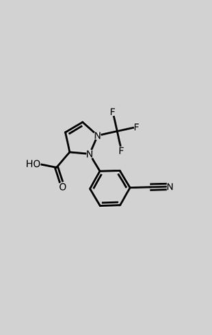 N#Cc1cccc(N2C(C(=O)O)C=CN2C(F)(F)F)c1